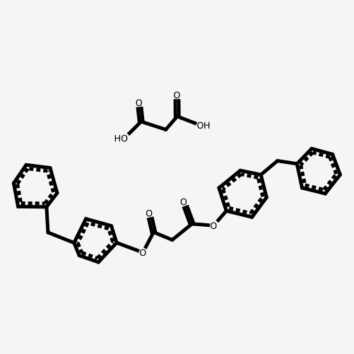 O=C(CC(=O)Oc1ccc(Cc2ccccc2)cc1)Oc1ccc(Cc2ccccc2)cc1.O=C(O)CC(=O)O